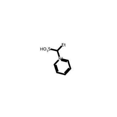 CCC([n+]1ccccc1)S(=O)(=O)O